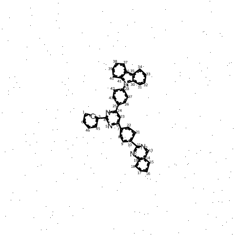 c1ccc(-c2nc(-c3ccc(-c4ncc5ccccc5n4)cc3)cc(-c3ccc(-n4c5ccccc5c5ccccc54)cc3)n2)cc1